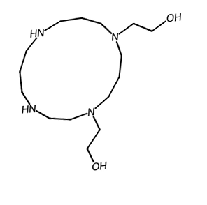 OCCN1CCCNCCCNCCN(CCO)CCC1